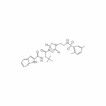 Cc1ccc(C)c(S(=O)(=O)NCCN2C[C@@H]3C[C@H]2CN3C(=O)[C@@H](NC(=O)c2cc3ccccc3[nH]2)C(C)(C)C)c1